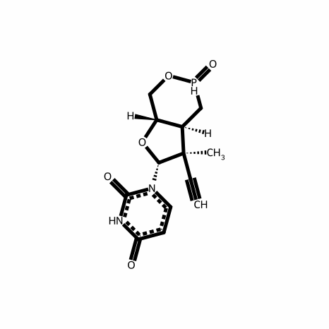 C#C[C@]1(C)[C@@H]2C[PH](=O)OC[C@H]2O[C@H]1n1ccc(=O)[nH]c1=O